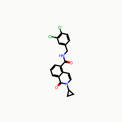 O=C(NCc1ccc(Cl)c(Cl)c1)c1cccc2c(=O)n(C3CC3)ccc12